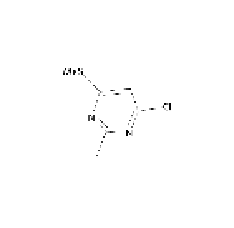 CSc1cc(Cl)nc(C)n1